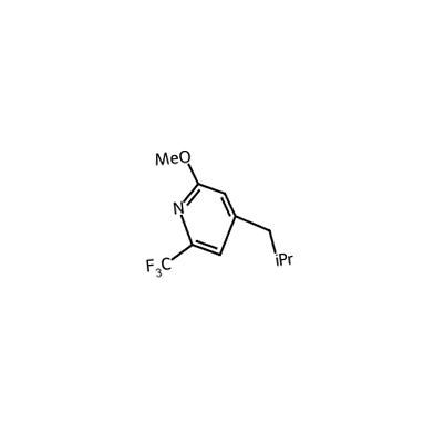 COc1cc(CC(C)C)cc(C(F)(F)F)n1